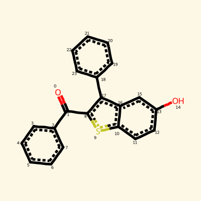 O=C(c1ccccc1)c1sc2ccc(O)cc2c1-c1ccccc1